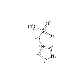 O=S(=O)(On1ccnc1)C(Cl)(Cl)Cl